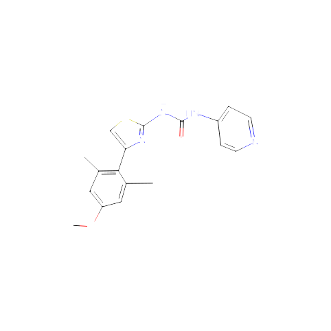 COc1cc(C)c(-c2csc(NC(=O)Nc3ccncc3)n2)c(C)c1